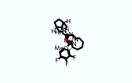 COc1cc(N2C[C@H]3CC[C@@H](C2)[C@H]3Nc2nc3n(n2)CCCC[C@@H]3c2ccc(F)c(F)c2F)cnn1